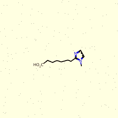 Cn1ccnc1CCCCCCC(=O)O